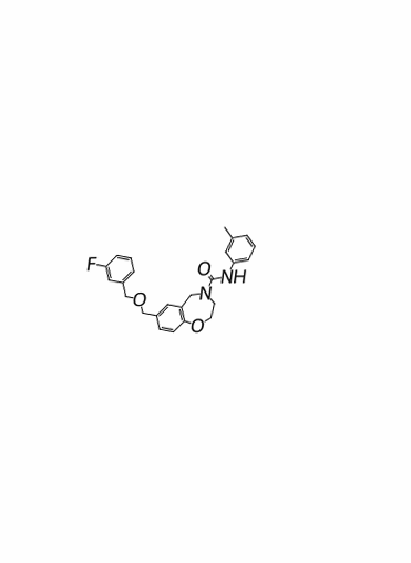 Cc1cccc(NC(=O)N2CCOc3ccc(COCc4cccc(F)c4)cc3C2)c1